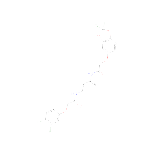 C=C(CCNC(=O)COc1ccc(F)c(F)c1)NC(=O)COc1ccc2c(c1)OC(F)(F)O2